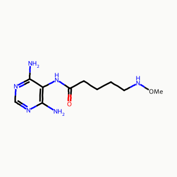 CONCCCCC(=O)Nc1c(N)ncnc1N